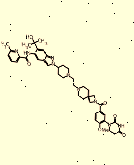 COc1ccc(C(=O)N2CC3(CCN(CCN4CCC(n5cc6cc(NC(=O)c7cccc(C(F)(F)F)n7)c(C(C)(C)O)cc6n5)CC4)CC3)C2)cc1N1CCC(=O)NC1=O